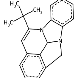 CC(C)(C)C1=Cc2cccc3c2C2N(C3)c3ccccc3N12